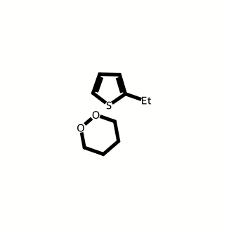 C1CCOOC1.CCc1cccs1